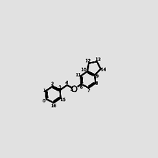 c1ccc(COc2ccc3c(c2)CCC3)cc1